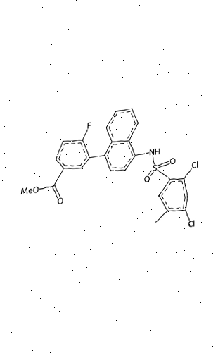 COC(=O)c1ccc(F)c(-c2ccc(NS(=O)(=O)c3cc(C)c(Cl)cc3Cl)c3ccccc23)c1